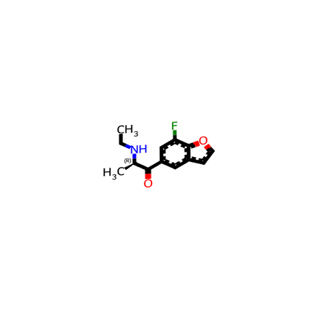 CCN[C@H](C)C(=O)c1cc(F)c2occc2c1